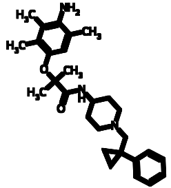 Cc1cc(OC(C)(C)C(=O)NC2CCN(CC3(c4ccccc4)CC3)CC2)c(C)c(C)c1N